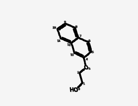 OCCOc1ccc2cc[c]cc2c1